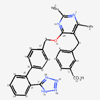 CCCCc1nc(CCC)c(Cc2cccc(C(=O)O)c2)c(OCc2ccc(-c3ccccc3-c3nnn[nH]3)cc2)n1